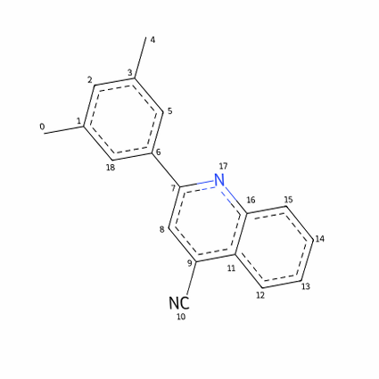 Cc1cc(C)cc(-c2cc(C#N)c3ccccc3n2)c1